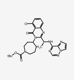 C[C@H](Nc1ncnn2ccnc12)c1nc2cccc(Cl)c2c(=O)n1C1CCCN(C(=O)OC(C)(C)C)CC1